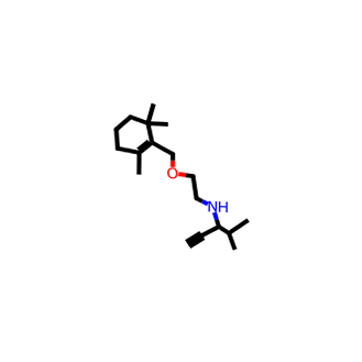 C#CC(NCCOCC1=C(C)CCCC1(C)C)C(C)C